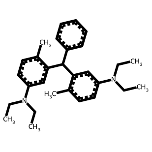 CCN(CC)c1ccc(C)c(C(c2ccccc2)c2cc(N(CC)CC)ccc2C)c1